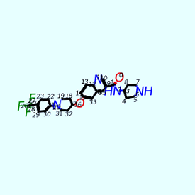 O=C(NC1CCNCC1)c1cnc2ccc(OC3CCN(c4ccc(C(F)(F)F)cc4)CC3)cc2c1